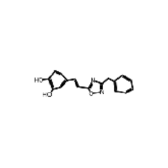 Oc1ccc(/C=C/c2nc(Cc3ccccc3)no2)cc1O